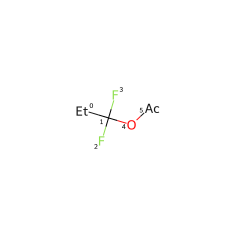 CCC(F)(F)OC(C)=O